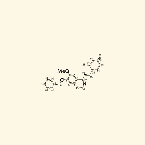 COc1cc2c(cc1OCc1ccccc1)CCN=C2/C=C/c1ccc(F)cc1C